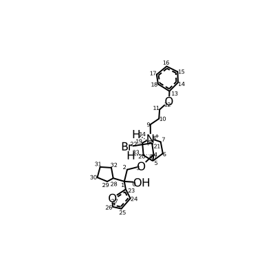 OC(CO[C@@H]1C2CC[N+](CCCOc3ccccc3)(CC2)[C@@H]1Br)(c1ccco1)C1CCCC1